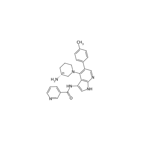 Cc1ccc(-c2cnc3[nH]cc(NC(=O)c4cccnc4)c3c2N2CCC[C@@H](N)C2)cc1